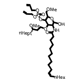 C=CCOP(=O)(OCC=C)OC1C(COC)OC(O)C(NC(=O)CCCCCCCCC/C=C\CCCCCC)C1OCC[C@@H](CCCCCCC)OC